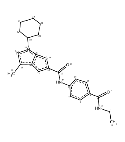 CCNC(=O)c1ccc(NC(=O)c2cc3c(C)nn(C4CCCCC4)c3s2)cc1